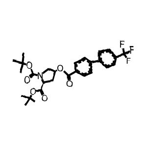 CC(C)(C)OC(=O)[C@@H]1C[C@H](OC(=O)c2ccc(-c3ccc(C(F)(F)F)cc3)cc2)CN1C(=O)OC(C)(C)C